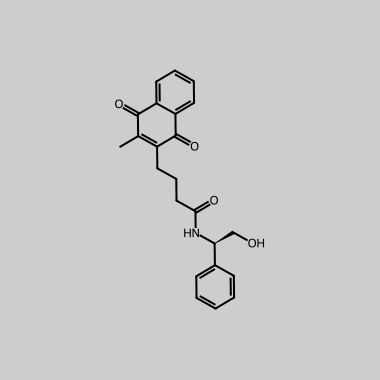 CC1=C(CCCC(=O)N[C@@H](CO)c2ccccc2)C(=O)c2ccccc2C1=O